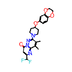 Cc1c(N2CCC(Oc3ccc4c(c3)OCCO4)CC2)nn2c(=O)cc(C(F)F)nc2c1C